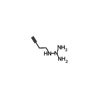 C#CCCNN(N)N